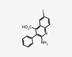 Nc1nc2ccc(I)cc2c(C(=O)O)c1-c1ccccc1